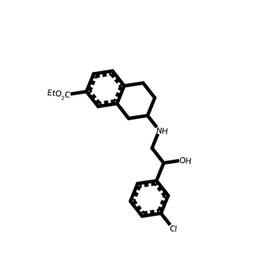 CCOC(=O)c1ccc2c(c1)CC(NCC(O)c1cccc(Cl)c1)CC2